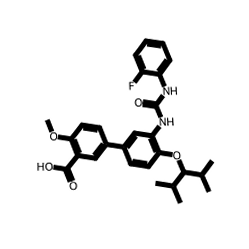 COc1ccc(-c2ccc(OC(C(C)C)C(C)C)c(NC(=O)Nc3ccccc3F)c2)cc1C(=O)O